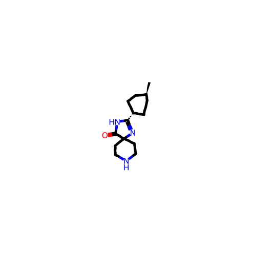 C[C@H]1CC[C@H](C2=NC3(CCNCC3)C(=O)N2)CC1